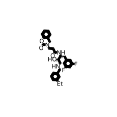 CCc1cccc(CNC[C@H](O)[C@H](Cc2cc(F)cc(F)c2)NC(=O)CCN2Cc3ccccc3OC2=O)c1